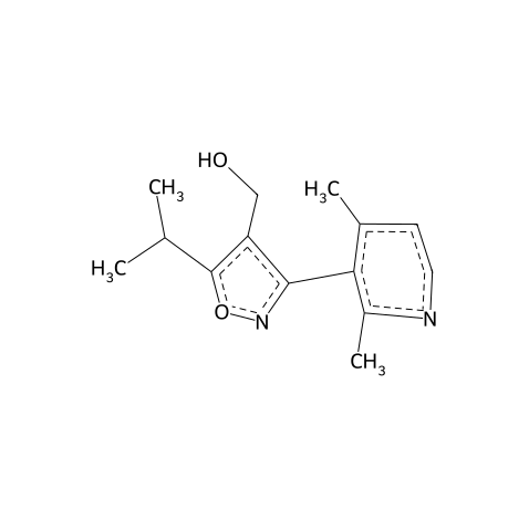 Cc1ccnc(C)c1-c1noc(C(C)C)c1CO